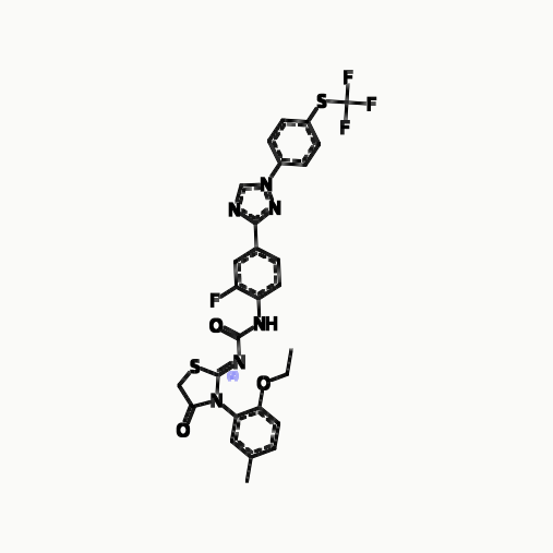 CCOc1ccc(C)cc1N1C(=O)CS/C1=N\C(=O)Nc1ccc(-c2ncn(-c3ccc(SC(F)(F)F)cc3)n2)cc1F